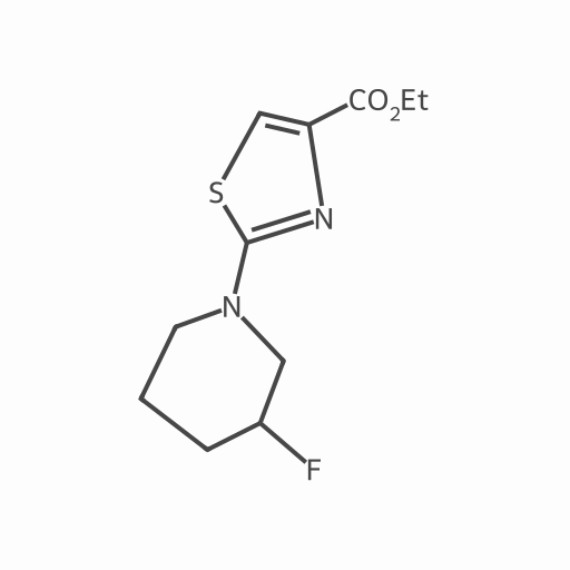 CCOC(=O)c1csc(N2CCCC(F)C2)n1